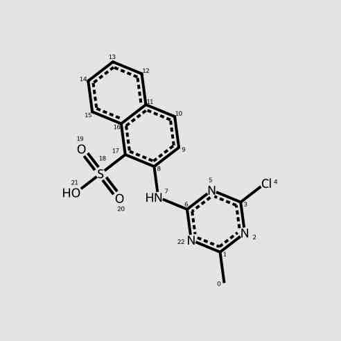 Cc1nc(Cl)nc(Nc2ccc3ccccc3c2S(=O)(=O)O)n1